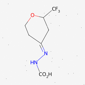 O=C(O)NN=C1CCOC(C(F)(F)F)C1